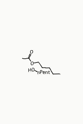 CCCCCO.CCCCCOC(C)=O